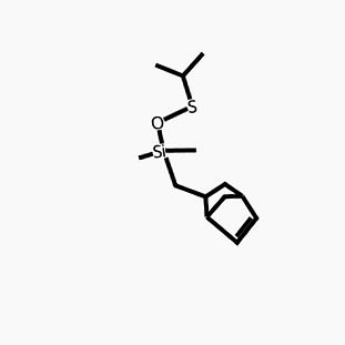 CC(C)SO[Si](C)(C)CC1CC2C=CC1C2